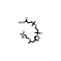 CCC(C)(CCOC(C)(C)CCC(=O)NC)n1cc(CC(C)OCCS(C)(=N)=O)nn1